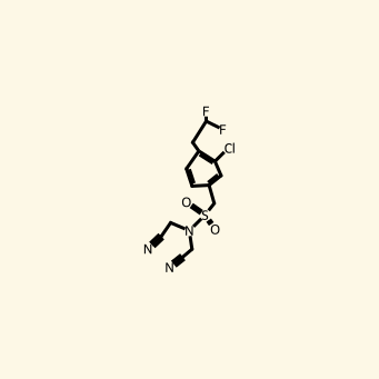 N#CCN(CC#N)S(=O)(=O)Cc1ccc(CC(F)F)c(Cl)c1